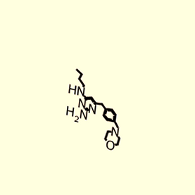 CCCCNc1cc(Cc2ccc(CN3CCOCC3)cc2)nc(N)n1